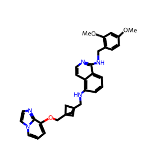 COc1ccc(CNc2nccc3c(NCC45CC(COc6cccn7ccnc67)(C4)C5)cccc23)c(OC)c1